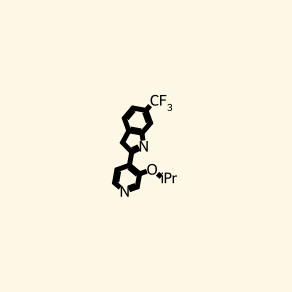 CC(C)Oc1cnccc1C1=Nc2cc(C(F)(F)F)ccc2C1